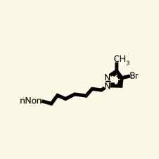 CCCCCCCCCCCCCCCCn1cc(Br)c(C)n1